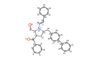 O=CC1C(C(=O)c2ccccc2)CC(Cc2ccc(-c3ccccc3)cc2)N1/C=C/c1ccccc1